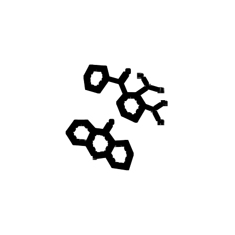 CCN(CC)c1cccc(C(=O)c2ccccc2)c1N(CC)CC.O=c1c2ccccc2sc2ccccc12